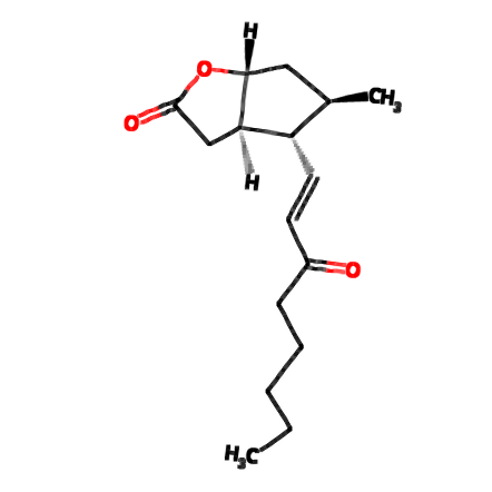 CCCCCC(=O)C=C[C@@H]1[C@H]2CC(=O)O[C@@H]2C[C@H]1C